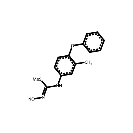 CS/C(=N\C#N)Nc1ccc(Oc2ccccc2)c(C)c1